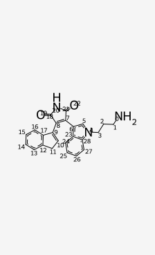 NCCCn1cc(C2=C(C3=CCc4ccccc43)C(=O)NC2=O)c2ccccc21